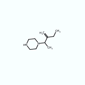 C=C(CC)C(C)N1CCNCC1